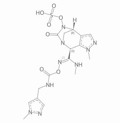 CN/C(=N\OC(=O)NCc1cnn(C)c1)[C@@H]1c2c(cnn2C)[C@@H]2CN1C(=O)N2OS(=O)(=O)O